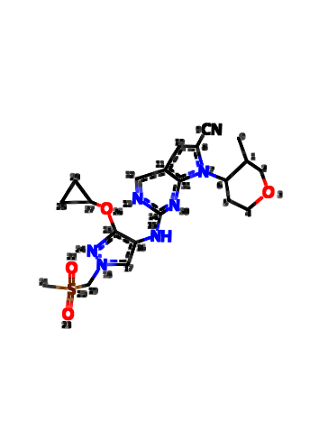 CC1COCCC1n1c(C#N)cc2cnc(Nc3cn(CS(C)(=O)=O)nc3OC3CC3)nc21